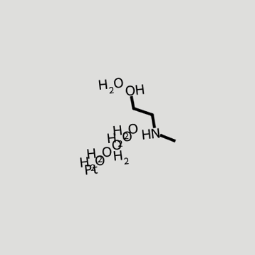 CNCCO.O.O.O.O.O.O.[Pt]